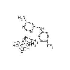 CC(C)C.CC(C)C.Cl.Nc1cc(Nc2ccc(C(F)(F)F)cc2)ncn1.O=C(O)O.O=C(O)O